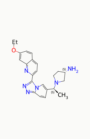 CCOc1ccc2ccc(-c3nnc4ccc([C@H](C)N5CC[C@H](N)C5)cn34)nc2c1